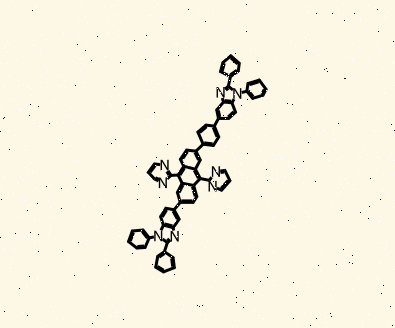 c1ccc(-c2nc3cc(-c4ccc(-c5ccc6c(-c7ncccn7)c7cc(-c8ccc9c(c8)nc(-c8ccccc8)n9-c8ccccc8)ccc7c(-c7ncccn7)c6c5)cc4)ccc3n2-c2ccccc2)cc1